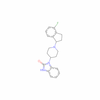 O=c1[nH]c2ccccc2n1C1CCN(C2CCc3c(F)cccc32)CC1